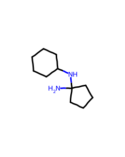 NC1(NC2CCCCC2)CCCC1